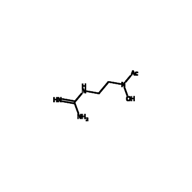 CC(=O)N(O)CCNC(=N)N